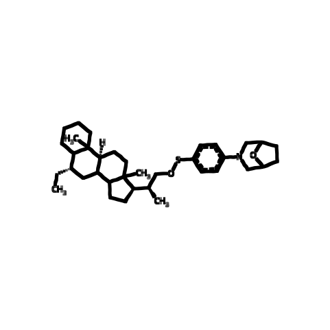 CC[C@H]1CC2C3CC[C@H]([C@H](C)COSc4ccc(N5CC6CCC(C5)O6)cc4)C3(C)CC[C@@H]2C2(C)CCCCC12